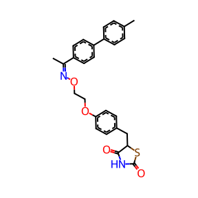 CC(=NOCCOc1ccc(CC2SC(=O)NC2=O)cc1)c1ccc(-c2ccc(C)cc2)cc1